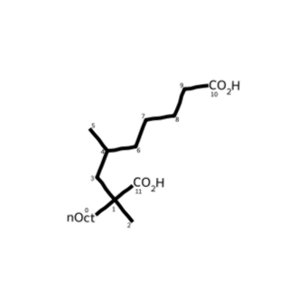 CCCCCCCCC(C)(CC(C)CCCCC(=O)O)C(=O)O